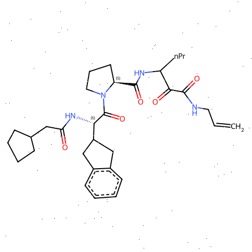 C=CCNC(=O)C(=O)C(CCC)NC(=O)[C@@H]1CCCN1C(=O)[C@@H](NC(=O)CC1CCCC1)C1Cc2ccccc2C1